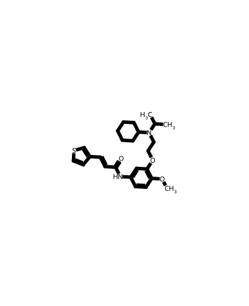 COc1ccc(NC(=O)/C=C/c2ccsc2)cc1OCCN(C(C)C)C1CCCCC1